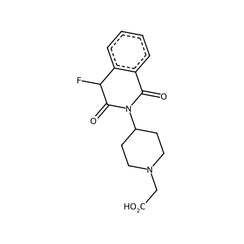 O=C(O)CN1CCC(N2C(=O)c3ccccc3C(F)C2=O)CC1